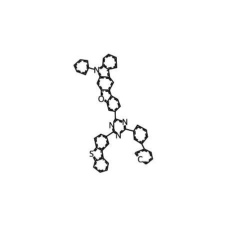 c1ccc(-c2cccc(-c3nc(-c4ccc5c(c4)oc4cc6c(cc45)c4ccccc4n6-c4ccccc4)nc(-c4ccc5sc6ccccc6c5c4)n3)c2)cc1